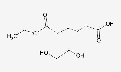 CCOC(=O)CCCCC(=O)O.OCCO